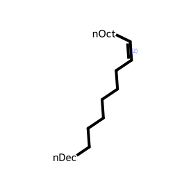 CCCCCCCC/C=C\CCCCCCCCCCCCCCCC